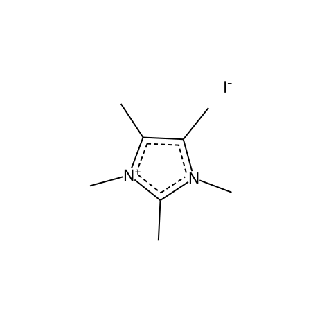 Cc1c(C)[n+](C)c(C)n1C.[I-]